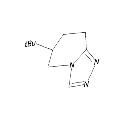 CC(C)(C)C1CCc2nncn2C1